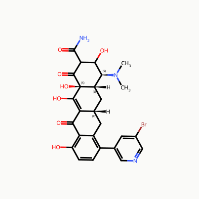 CN(C)[C@@H]1C(O)C(C(N)=O)C(=O)[C@@]2(O)C(O)=C3C(=O)c4c(O)ccc(-c5cncc(Br)c5)c4C[C@H]3C[C@@H]12